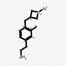 BCCc1ccc(CC2CN(C(C)=O)C2)c(C)c1